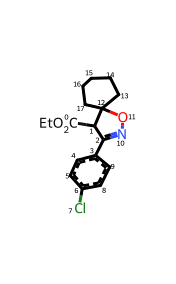 CCOC(=O)C1C(c2ccc(Cl)cc2)=NOC12CCCCC2